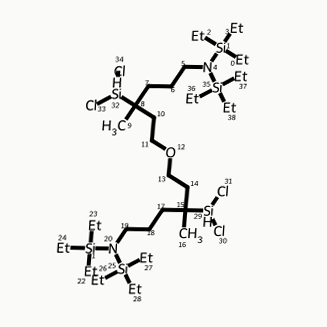 CC[Si](CC)(CC)N(CCCC(C)(CCOCCC(C)(CCCN([Si](CC)(CC)CC)[Si](CC)(CC)CC)[SiH](Cl)Cl)[SiH](Cl)Cl)[Si](CC)(CC)CC